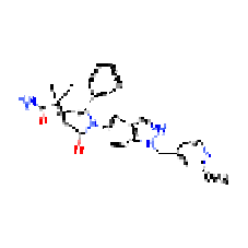 COc1cc(Cn2ncc3cc(N4C(=O)C[C@@H](C5(C(N)=O)CC5)[C@@H]4c4ccccc4)ccc32)ccn1